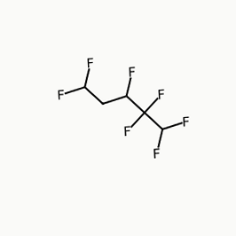 FC(F)CC(F)C(F)(F)C(F)F